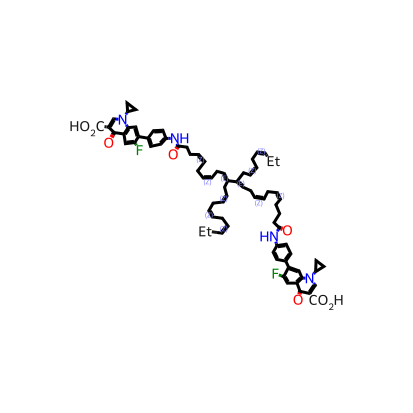 CC/C=C\C/C=C\C/C=C\CC(=C\C/C=C\C/C=C\CCC(=O)Nc1ccc(-c2cc3c(cc2F)c(=O)c(C(=O)O)cn3C2CC2)cc1)/C(=C/C/C=C\C/C=C\CCCC(=O)Nc1ccc(-c2cc3c(cc2F)c(=O)c(C(=O)O)cn3C2CC2)cc1)C/C=C\C/C=C\CC